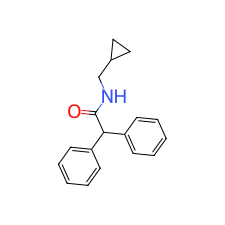 O=C(NCC1CC1)C(c1ccccc1)c1ccccc1